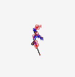 CCCCCCCCCCOC(=O)OCn1c(=O)c(C2CCN(C(=O)N[C@H](Cc3cc(C)c4c(cnn4COC(=O)O)c3)C(=O)N3CCN(C4CCN(C)CC4)CC3)CC2)cc2ccccc21